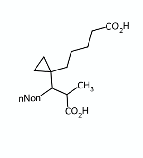 CCCCCCCCCC(C(C)C(=O)O)C1(CCCCC(=O)O)CC1